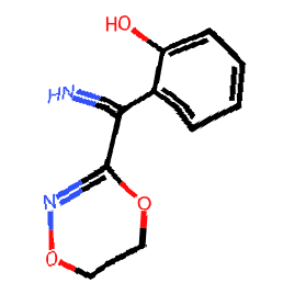 N=C(C1=NOCCO1)c1ccccc1O